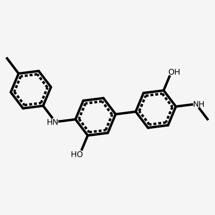 CNc1ccc(-c2ccc(Nc3ccc(C)cc3)c(O)c2)cc1O